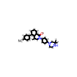 Cc1cn(-c2ccc(N3CCNC(C)(C)C3)cc2)c(=O)c2cccc(-c3ccc(C#N)cc3)c12